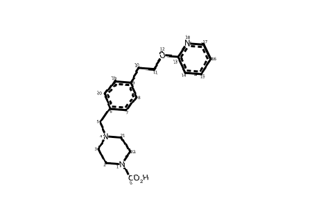 O=C(O)N1CCN(Cc2ccc(CCOc3ccccn3)cc2)CC1